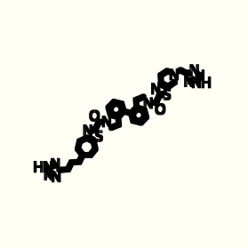 O=C(c1nc2c(s1)CCC(CCCc1nn[nH]n1)CC2)N1CCc2c(-c3cccc4c3CCN4C(=O)c3nc4c(s3)CN(Cc3nn[nH]n3)CC4)cccc21